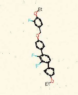 CCOc1ccc(-c2ccc(-c3ccc(OCc4ccc(OCC)c(F)c4)cc3)c(F)c2F)cc1